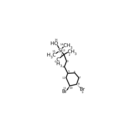 CC(C)(CCC1CC[C@H](Br)[C@@H](Br)C1)[Si](C)(C)O